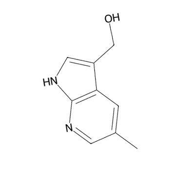 Cc1cnc2[nH]cc(CO)c2c1